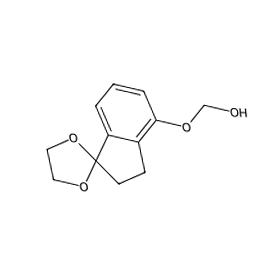 OCOc1cccc2c1CCC21OCCO1